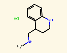 CNCC1CCNc2ccccc21.Cl